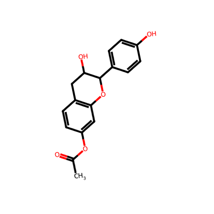 CC(=O)Oc1ccc2c(c1)OC(c1ccc(O)cc1)C(O)C2